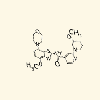 COc1ccc(N2CCOCC2)c2sc(NC(=O)c3ccnc(N4CCCC(OC)C4)c3)nc12